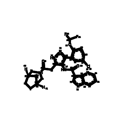 CN1[C@@H]2CC[C@H]1CN(C(=O)Cc1[nH]nc(-c3cc(Cl)ccc3OC(F)F)c1NC(=O)c1cnn3cccnc13)C2